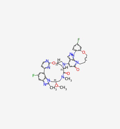 CO[C@@H]1CN(C)C(=O)[C@@H]2C[C@@H](CN2c2cc(=O)n3c4c2cnn4-c2ccc(F)cc2OCCCC3)Oc2nccc(n2)-c2cc(F)cc3nc(C)n(c23)C1